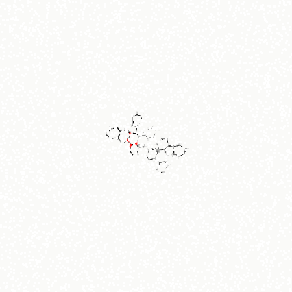 c1cc(-c2ccc3ccccc3c2)cc(N(c2ccc(-c3ccccc3-n3c4ccccc4c4ccccc43)cc2)c2ccccc2-c2cccc3oc4ccccc4c23)c1